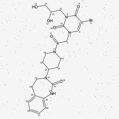 O=C(Cn1cc(Br)c(=O)n(CC(O)CO)c1=O)N1CCC(N2CCc3ccccc3NC2=O)CC1